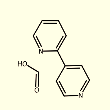 O=CO.c1ccc(-c2ccncc2)nc1